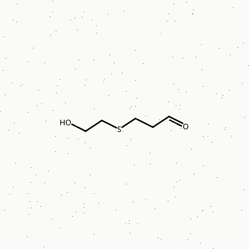 O=CCCSCCO